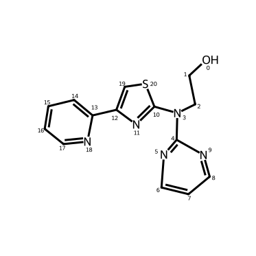 OCCN(c1ncccn1)c1nc(-c2ccccn2)cs1